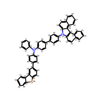 c1ccc(N(c2ccc(-c3ccc(-n4c5ccc6ccccc6c5c5c6ccccc6ccc54)cc3)cc2)c2ccc(-c3ccc4sc5ccccc5c4c3)cc2)cc1